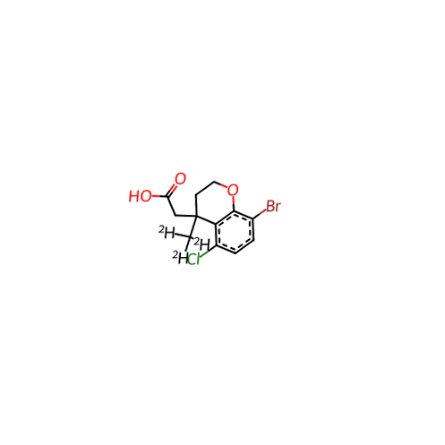 [2H]C([2H])([2H])C1(CC(=O)O)CCOc2c(Br)ccc(Cl)c21